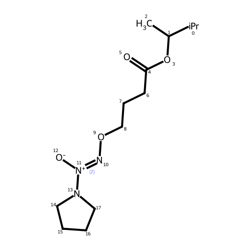 CC(C)C(C)OC(=O)CCCO/N=[N+](\[O-])N1CCCC1